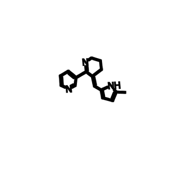 Cc1ccc(C=C2CCCN=C2c2cccnc2)[nH]1